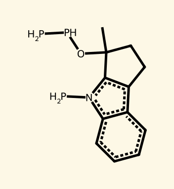 CC1(OPP)CCc2c1n(P)c1ccccc21